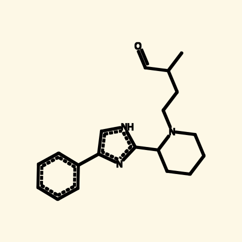 CC(C=O)CCN1CCCCC1c1nc(-c2ccccc2)c[nH]1